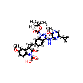 COc1ccc2c(c1)[C@]1(C[C@H]1c1ccc3c(Nc4nc(C5CC5)cnc4OC)nn(C(=O)OC(C)(C)C)c3c1)C(=O)N2C(=O)O